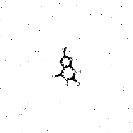 CCCc1cc2c(=O)[nH]c(=O)[nH]c2s1